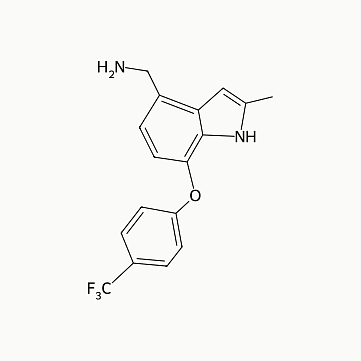 Cc1cc2c(CN)ccc(Oc3ccc(C(F)(F)F)cc3)c2[nH]1